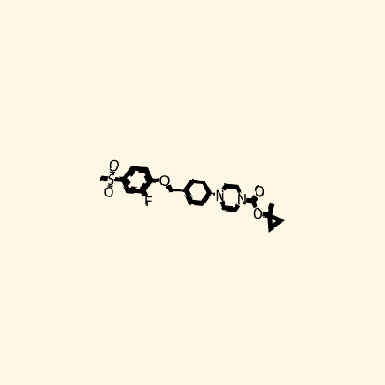 CC1(OC(=O)N2CCN([C@H]3CC[C@H](COc4ccc(S(C)(=O)=O)cc4F)CC3)CC2)CC1